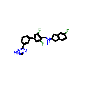 Fc1ccc2c(c1)CC(NCc1c(F)cc(C3=CCCC(c4nc[nH]n4)=C3)cc1F)C2